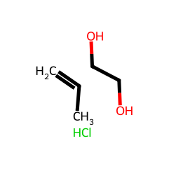 C=CC.Cl.OCCO